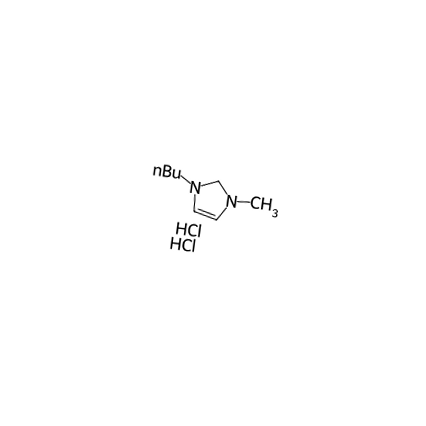 CCCCN1C=CN(C)C1.Cl.Cl